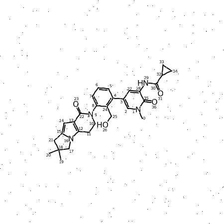 Cn1cc(-c2cccc(N3CCc4c(cc5n4CC(C)(C)C5)C3=O)c2CO)cc(NC(=O)C2CC2)c1=O